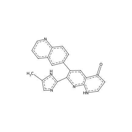 Cc1cnc(-c2nc3[nH]ccc(=O)c3cc2-c2ccc3ncccc3c2)[nH]1